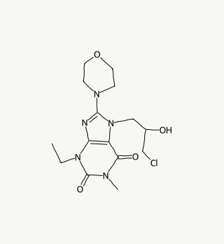 CCn1c(=O)n(C)c(=O)c2c1nc(N1CCOCC1)n2CC(O)CCl